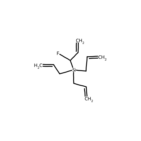 C=CC[Si](CC=C)(CC=C)C(F)C=C